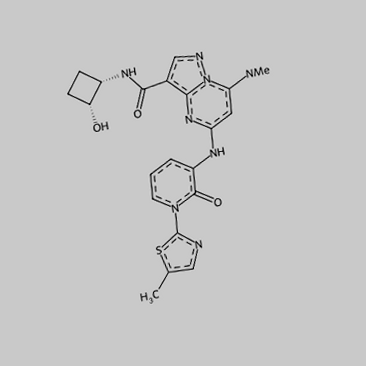 CNc1cc(Nc2cccn(-c3ncc(C)s3)c2=O)nc2c(C(=O)N[C@H]3CC[C@H]3O)cnn12